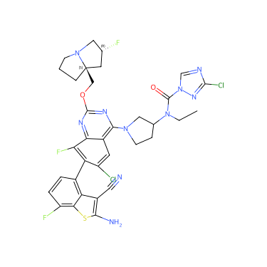 CCN(C(=O)n1cnc(Cl)n1)C1CCN(c2nc(OC[C@@]34CCCN3C[C@H](F)C4)nc3c(F)c(-c4ccc(F)c5sc(N)c(C#N)c45)c(Cl)cc23)C1